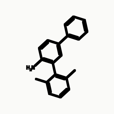 Cc1cccc(C)c1-c1cc(-c2ccccc2)ccc1N